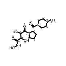 CCCCC(C(=O)N1CCC[C@H]1C(=O)N1CCN(C)CC1)C(O)C(=O)NO